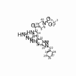 CC(C)(C)OC(=O)N1CCC(C(=O)c2cc(-c3ccc4cn(Cc5ccccc5)nc4c3)c(/C(N)=N\C=N)[nH]2)CC1